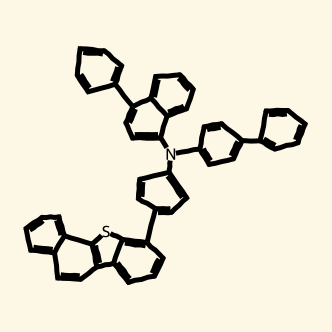 c1ccc(-c2ccc(N(c3ccc(-c4cccc5c4sc4c6ccccc6ccc54)cc3)c3ccc(-c4ccccc4)c4ccccc34)cc2)cc1